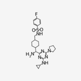 NC(c1nc(NC2CC2)nc(N2CCCC2)n1)C1CCC(CNS(=O)(=O)c2ccc(F)cc2)CC1